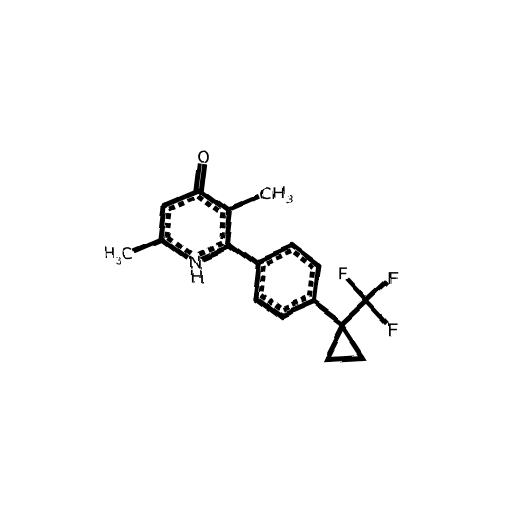 Cc1cc(=O)c(C)c(-c2ccc(C3(C(F)(F)F)CC3)cc2)[nH]1